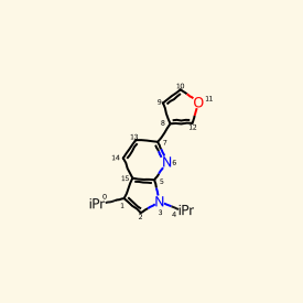 CC(C)c1cn(C(C)C)c2nc(-c3ccoc3)ccc12